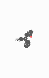 CCC1(CC)c2ccccc2Oc2ccc(-c3cc(-c4ccc(C#N)cc4)cc(-c4ccc5ccc6cccnc6c5n4)c3)cc21